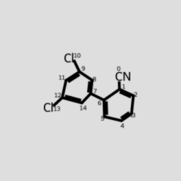 N#Cc1c[c]ccc1-c1cc(Cl)cc(Cl)c1